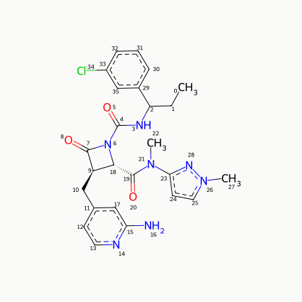 CCC(NC(=O)N1C(=O)[C@H](Cc2ccnc(N)c2)[C@H]1C(=O)N(C)c1ccn(C)n1)c1cccc(Cl)c1